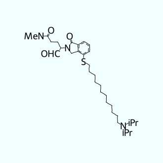 CNC(=O)CCC(C=O)N1Cc2c(SCCCCCCCCCCCCN(C(C)C)C(C)C)cccc2C1=O